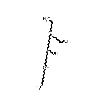 CC/C=C\CCCCOC(CCCCCCCN(CCO)CCCCCCCC(=O)OCCCCCCCCCC)OCCCC/C=C\CC